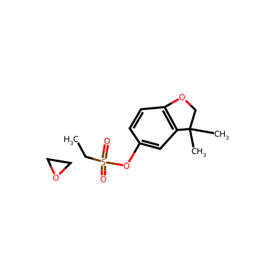 C1CO1.CCS(=O)(=O)Oc1ccc2c(c1)C(C)(C)CO2